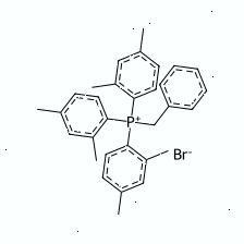 Cc1ccc([P+](Cc2ccccc2)(c2ccc(C)cc2C)c2ccc(C)cc2C)c(C)c1.[Br-]